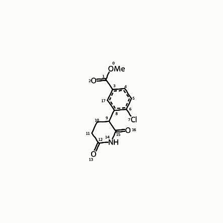 COC(=O)c1ccc(Cl)c(C2CCC(=O)NC2=O)c1